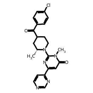 C[C@@H]1CC(C(=O)c2ccc(Cl)cc2)CCN1c1nc(-c2ccncn2)cc(=O)n1C